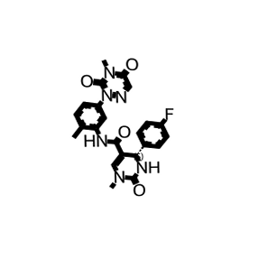 Cc1ccc(-n2ncc(=O)n(C)c2=O)cc1NC(=O)C1=CN(C)C(=O)N[C@H]1c1ccc(F)cc1